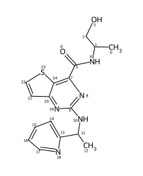 CC(CO)NC(=O)c1nc(NC(C)c2ccccn2)nc2ccsc12